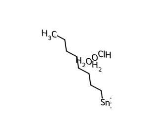 CCCCCCC[CH2][Sn].Cl.O.O